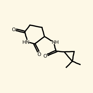 CC1(C)CC1C(=O)NC1CCC(=O)NC1=O